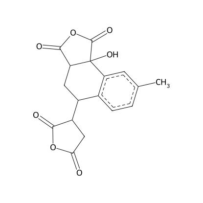 Cc1ccc2c(c1)C1(O)C(=O)OC(=O)C1CC2C1CC(=O)OC1=O